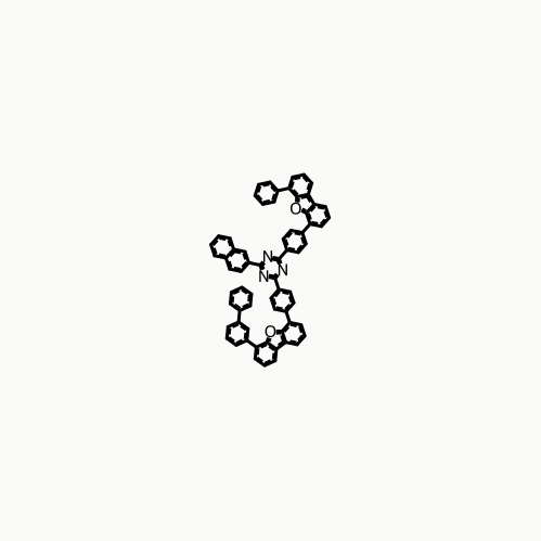 c1ccc(-c2cccc(-c3cccc4c3oc3c(-c5ccc(-c6nc(-c7ccc(-c8cccc9c8oc8c(-c%10ccccc%10)cccc89)cc7)nc(-c7ccc8ccccc8c7)n6)cc5)cccc34)c2)cc1